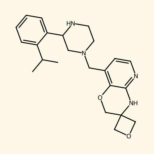 CC(C)c1ccccc1C1CN(Cc2ccnc3c2OCC2(COC2)N3)CCN1